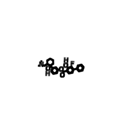 CN(C)CC1CCCCC1(O)c1cccc(OC(=O)c2ccc(-c3ccccc3)c(F)c2O)c1